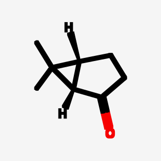 CC1(C)[C@@H]2CCC(=O)[C@@H]21